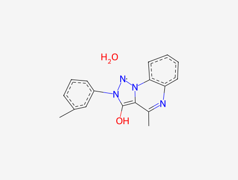 CC1=Nc2ccccc2N2[N]N(c3cccc(C)c3)C(O)=C12.O